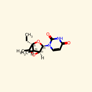 CC[C@@]12O[C@@H](n3ccc(=O)[nH]c3=O)[C@@H](OC1C)[C@@H]2C